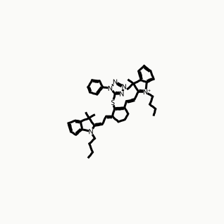 CCCCN1/C(=C/C=C2\CCCC(/C=C/C3=[N+](CCCC)c4ccccc4C3(C)C)=C2Sc2nnnn2-c2ccccc2)C(C)(C)c2ccccc21